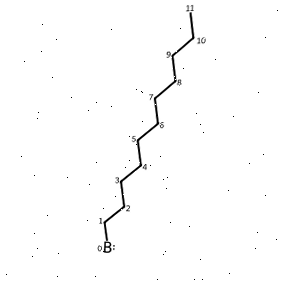 [B]CCCCCCCCCCC